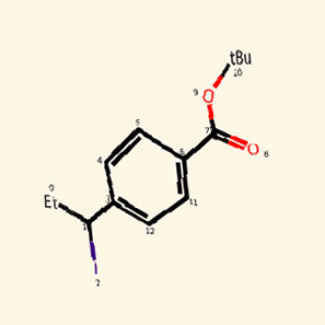 CCC(I)c1ccc(C(=O)OC(C)(C)C)cc1